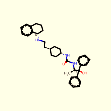 C[C@@H](NC(=O)N[C@H]1CC[C@H](CCN[C@H]2CCCc3ccccc32)CC1)C(O)(c1ccccc1)c1ccccc1